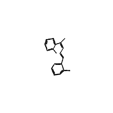 CC(=CC=Cc1ccccc1C)c1ccccc1C